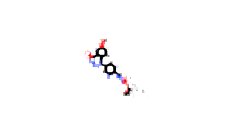 COc1ccc2c(-c3ccc(CNC(=O)OC(C)(C)C)cc3)n[nH]c(=O)c2c1